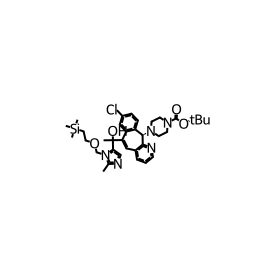 Cc1ncc(C(C)(O)C2=Cc3cccnc3[C@@H](N3CCN(C(=O)OC(C)(C)C)CC3)c3ccc(Cl)cc32)n1COCC[Si](C)(C)C